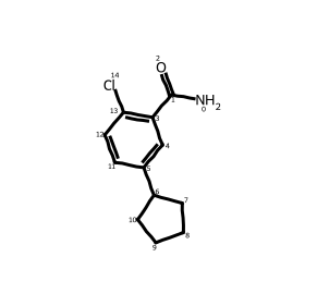 NC(=O)c1cc(C2CCCC2)ccc1Cl